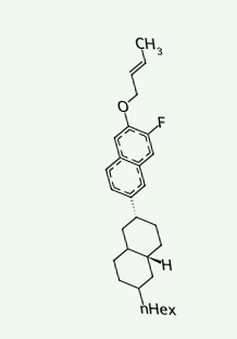 C/C=C/COc1cc2ccc([C@@H]3CC[C@@H]4CC(CCCCCC)CCC4C3)cc2cc1F